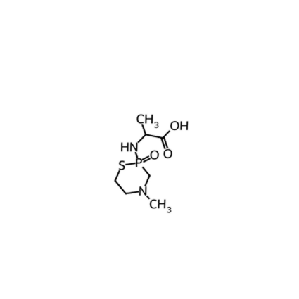 CC(NP1(=O)CN(C)CCS1)C(=O)O